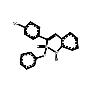 CCN1c2ccccc2C=C(c2ccc(C#N)cc2)P1(=O)Oc1ccccc1